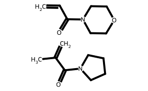 C=C(C)C(=O)N1CCCC1.C=CC(=O)N1CCOCC1